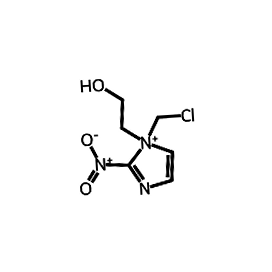 O=[N+]([O-])C1=NC=C[N+]1(CCl)CCO